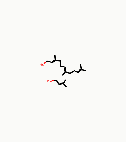 CC(C)=CCCC(C)=CCCC(C)=CCO.CC(C)=CCO